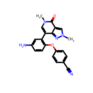 Cn1cc2c(=O)n(C)cc(-c3cc(N)ccc3Oc3ccc(C#N)cc3)c2n1